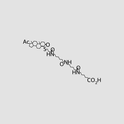 CC(=O)C1CCC2C3CCC4=C(SCCC(=O)NCCCCCC(=O)NCCCCCC(=O)NCCCCCC(=O)O)C(=O)CCC4(C)C3CCC12C